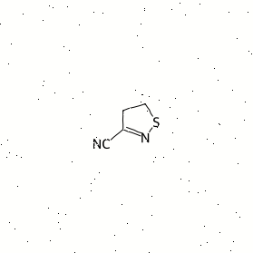 N#CC1=NSCC1